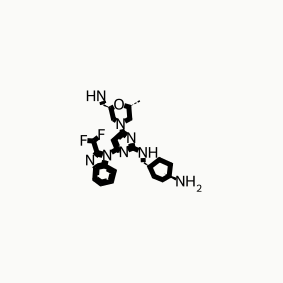 C[C@@H]1CN(c2cc(-n3c(C(F)F)nc4ccccc43)nc(NC[C@H]3CC[C@H](N)CC3)n2)C[C@H](C=N)O1